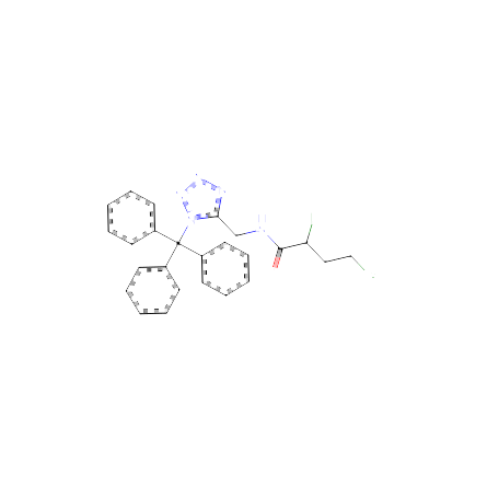 O=C(NCc1nnnn1C(c1ccccc1)(c1ccccc1)c1ccccc1)C(Br)CCBr